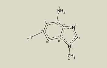 Cn1cnc2c(N)cc(I)cc21